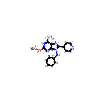 CCCCOc1nc(N)c2nc(-c3ccncc3)n(Cc3ccccc3)c2n1